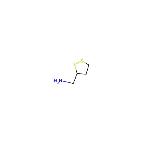 NCC1CCSS1